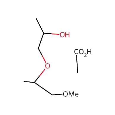 CC(=O)O.COCC(C)OCC(C)O